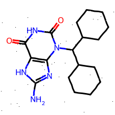 Nc1nc2c([nH]1)c(=O)[nH]c(=O)n2C(C1CCCCC1)C1CCCCC1